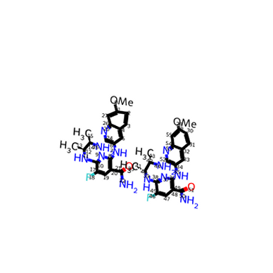 COc1ccc2cc(Nc3nc(N[C@@H](C)[C@@H](C)N)c(F)cc3C(N)=O)cnc2c1.COc1ccc2cc(Nc3nc(N[C@H](C)[C@H](C)N)c(F)cc3C(N)=O)cnc2c1